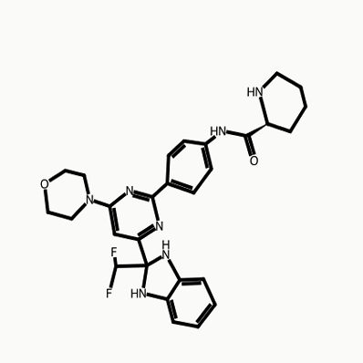 O=C(Nc1ccc(-c2nc(N3CCOCC3)cc(C3(C(F)F)Nc4ccccc4N3)n2)cc1)[C@@H]1CCCCN1